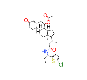 CC[C@@H](NC(=O)C[C@@H](C)C1CC[C@H]2[C@@H]3[C@H](OC(C)=O)CC4=CC(=O)CC[C@]4(C)[C@H]3CC[C@]12C)c1ccc(Cl)s1